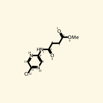 COC(=O)CCC(=O)Nc1cnc(Cl)cn1